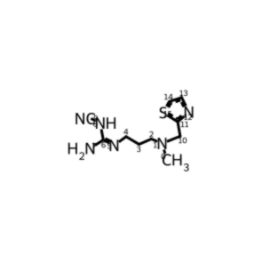 CN(CCCN=C(N)NC#N)Cc1nccs1